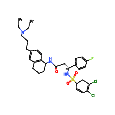 CC(C)CN(CCCc1ccc2c(c1)CCCC2NC(=O)C[C@@H](NS(=O)(=O)C1C=CC(Cl)=C(Cl)C1)c1ccc(F)cc1)CC(C)C